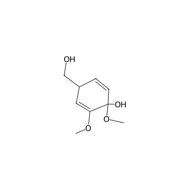 COC1=CC(CO)C=CC1(O)OC